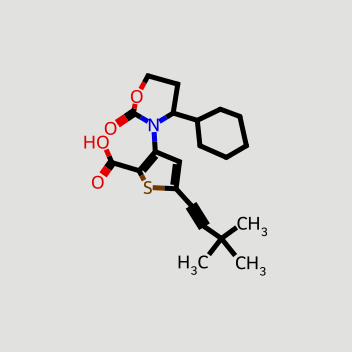 CC(C)(C)C#Cc1cc(N2C(=O)OCCC2C2CCCCC2)c(C(=O)O)s1